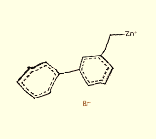 [Br-].[Zn+][CH2]c1cccc(-c2ccccc2)c1